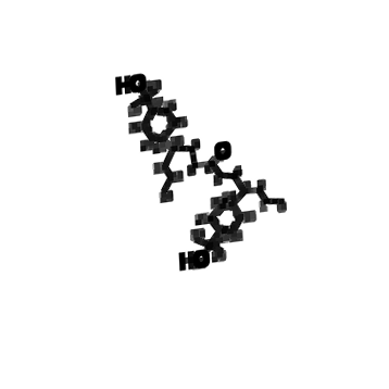 CCCC(CCC(=O)CCC(CCC)c1ccc(C(C)(C)O)cc1)c1ccc(C(C)(C)O)cc1